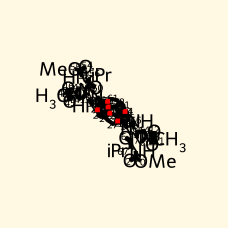 COC(=O)N[C@H](C(=O)N1CN(S(C)(=O)=O)C[C@H]1c1nc2cc(-c3cc4ccc3CCc3ccc(c(-c5ccc6[nH]c([C@@H]7CN(S(C)(=O)=O)CN7C(=O)[C@@H](NC(=O)OC)C(C)C)nc6c5)c3)CC4)ccc2[nH]1)C(C)C